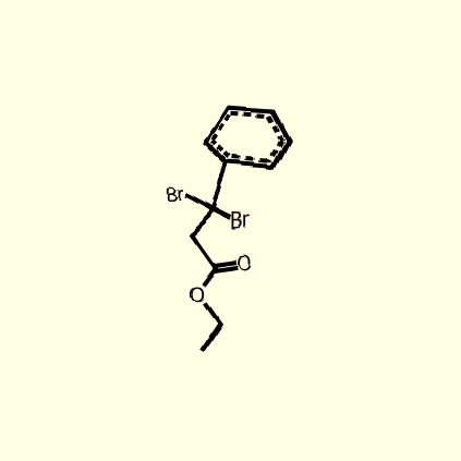 CCOC(=O)CC(Br)(Br)c1ccccc1